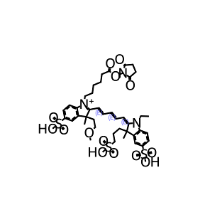 CCN1/C(=C/C=C/C=C/C2=[N+](CCCCCC(=O)ON3C(=O)CCC3=O)c3ccc(S(=O)(=O)O)cc3C2(C)CCOC)C(C)(CCCS(=O)(=O)O)c2cc(S(=O)(=O)O)ccc21